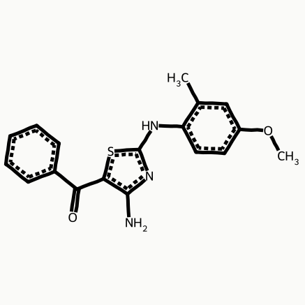 COc1ccc(Nc2nc(N)c(C(=O)c3ccccc3)s2)c(C)c1